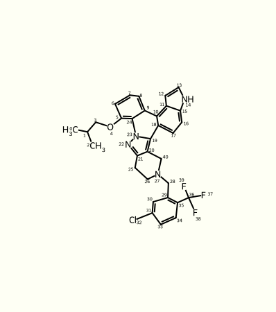 CC(C)COc1cccc2c3c4cc[nH]c4ccc3c3c4c(nn3c12)CCN(Cc1cc(Cl)ccc1C(F)(F)F)C4